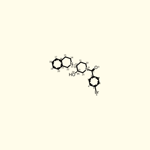 O=C(c1ccc(Br)cc1)N1CC[C@@H](N2CCc3ccccc3C2)[C@H](O)C1